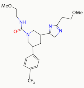 COCCNC(=O)N1CC(C2=NC(CCOC)=NC2)CC(c2ccc(C(F)(F)F)cc2)C1